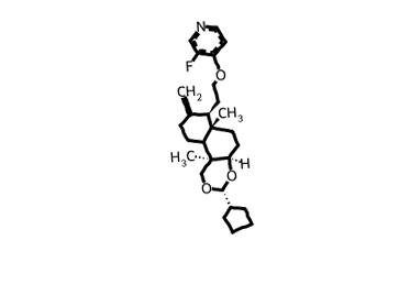 C=C1CCC2[C@]3(C)CO[C@@H](C4CCCC4)O[C@@H]3CC[C@@]2(C)[C@@H]1CCOc1ccncc1F